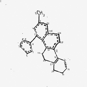 Cc1cc(-c2cccs2)c2c3c(ccc2c1)C1=C(CCC=C1)CC3